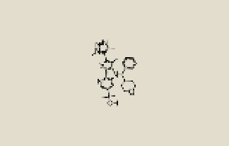 Cc1nnn(C)c1-c1sc2c3ncc(C(C)(C)O)cc3n(C(c3ccccc3)C3CCOCC3)c2c1C